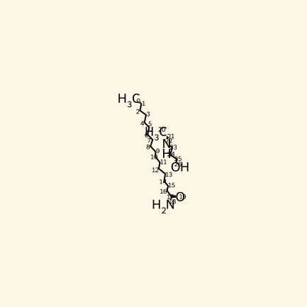 CCCCCCCCCCCCCCCCCC(N)=O.CCNCCCO